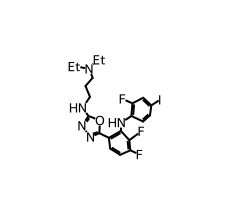 CCN(CC)CCCNc1nnc(-c2ccc(F)c(F)c2Nc2ccc(I)cc2F)o1